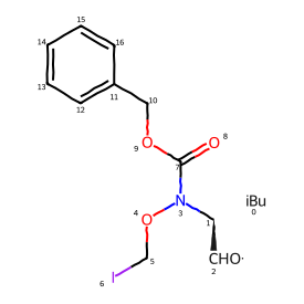 CC[C@H](C)[C@@H]([C]=O)N(OCI)C(=O)OCc1ccccc1